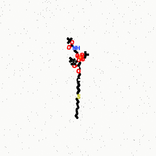 CCCCCCCCSCCCCCCCCOC[C@@H](COP(=O)(OCCNC(=O)OC(C)(C)C)OC(C)(C)C)O[Si](C)(C)C(C)(C)C